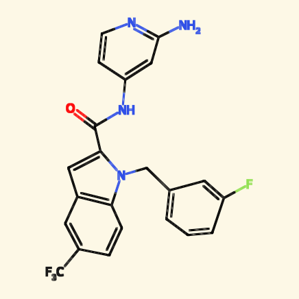 Nc1cc(NC(=O)c2cc3cc(C(F)(F)F)ccc3n2Cc2cccc(F)c2)ccn1